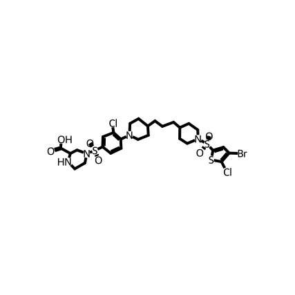 O=C(O)C1CN(S(=O)(=O)c2ccc(N3CCC(CCCC4CCN(S(=O)(=O)c5cc(Br)c(Cl)s5)CC4)CC3)c(Cl)c2)CCN1